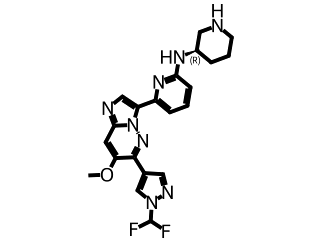 COc1cc2ncc(-c3cccc(N[C@@H]4CCCNC4)n3)n2nc1-c1cnn(C(F)F)c1